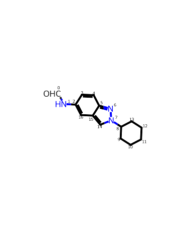 O=CNc1ccc2nn(C3CCCCC3)cc2c1